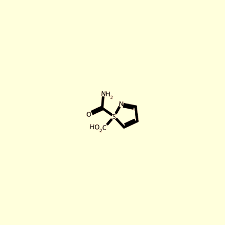 NC(=O)S1(C(=O)O)C=CC=N1